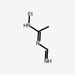 CCN/C(C)=N/C=N